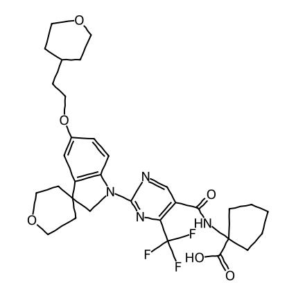 O=C(NC1(C(=O)O)CCCCC1)c1cnc(N2CC3(CCOCC3)c3cc(OCCC4CCOCC4)ccc32)nc1C(F)(F)F